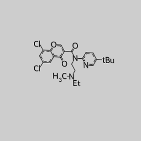 CCN(C)CCN(C(=O)c1coc2c(Cl)cc(Cl)cc2c1=O)c1ccc(C(C)(C)C)cn1